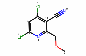 COCc1nc(Cl)cc(Cl)c1C#N